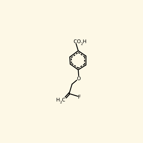 C=C(F)COc1ccc(C(=O)O)cc1